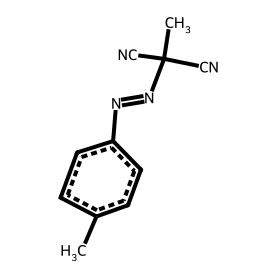 Cc1ccc(N=NC(C)(C#N)C#N)cc1